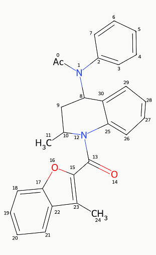 CC(=O)N(c1ccccc1)C1CC(C)N(C(=O)c2oc3ccccc3c2C)c2ccccc21